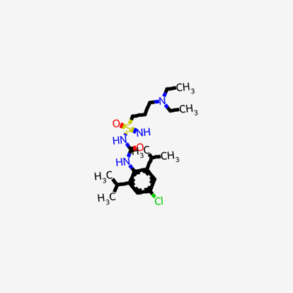 CCN(CC)CCCS(=N)(=O)NC(=O)Nc1c(C(C)C)cc(Cl)cc1C(C)C